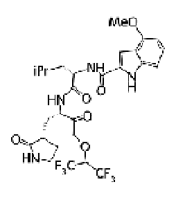 COc1cccc2[nH]c(C(=O)N[C@@H](CC(C)C)C(=O)N[C@@H](C[C@@H]3CCNC3=O)C(=O)COC(C(F)(F)F)C(F)(F)F)cc12